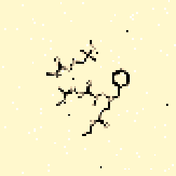 CCOC(=O)CCN(Cc1ccccc1)SN(C)C(=O)O/N=C(/C)SC.CNC(=O)O/N=C/C(C)(C)SC